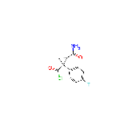 NC(=O)C1CC1(C(=O)Cl)c1ccc(F)cc1